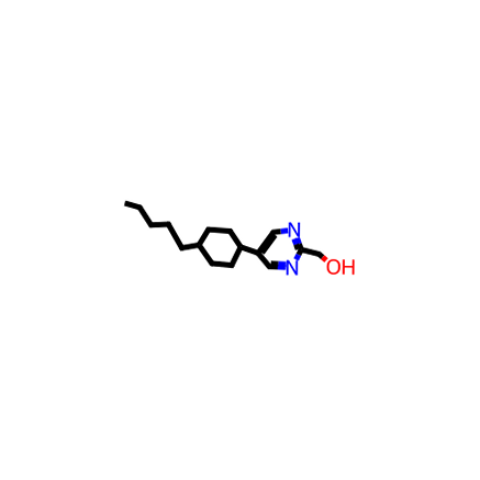 CCCCCC1CCC(c2cnc(CO)nc2)CC1